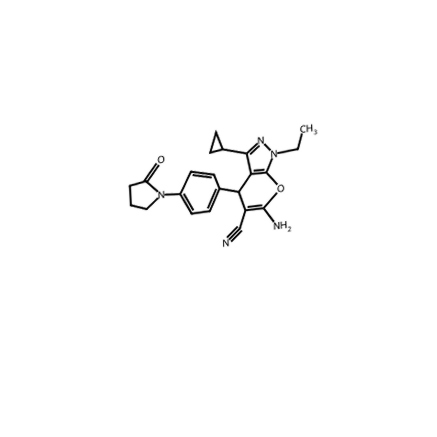 CCn1nc(C2CC2)c2c1OC(N)=C(C#N)C2c1ccc(N2CCCC2=O)cc1